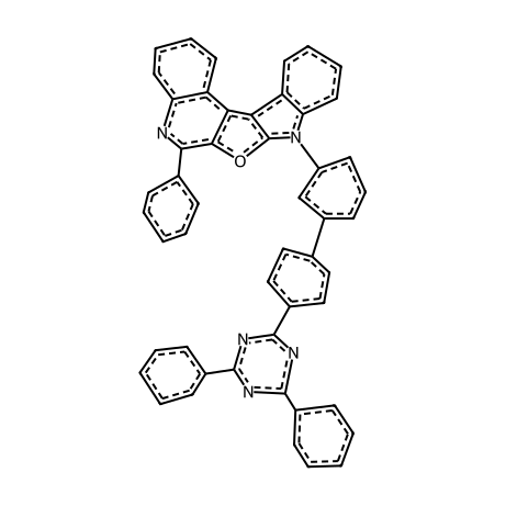 c1ccc(-c2nc(-c3ccccc3)nc(-c3ccc(-c4cccc(-n5c6ccccc6c6c7c(oc65)c(-c5ccccc5)nc5ccccc57)c4)cc3)n2)cc1